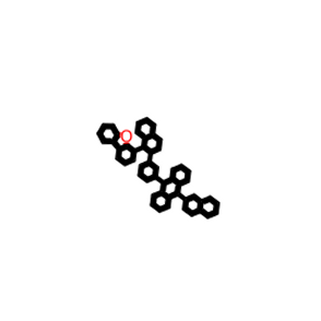 c1cc(-c2ccc3ccccc3c2-c2cccc3c2oc2ccccc23)cc(-c2c3ccccc3c(-c3ccc4ccccc4c3)c3ccccc23)c1